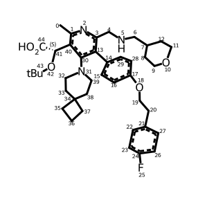 Cc1nc(CNCC2CCOCC2)c(-c2ccc(OCCc3ccc(F)cc3)cc2)c(N2CCC3(CCC3)CC2)c1[C@H](OC(C)(C)C)C(=O)O